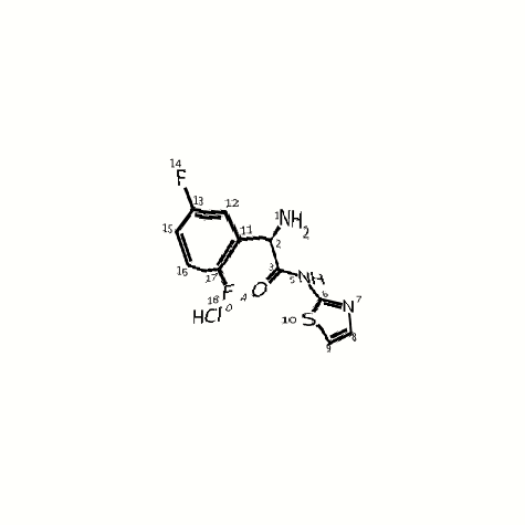 Cl.N[C@@H](C(=O)Nc1nccs1)c1cc(F)ccc1F